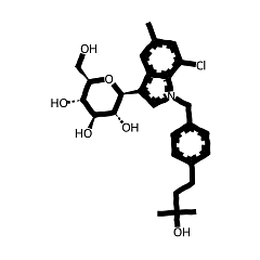 Cc1cc(Cl)c2c(c1)c([C@@H]1O[C@H](CO)[C@@H](O)[C@H](O)[C@H]1O)cn2Cc1ccc(CCC(C)(C)O)cc1